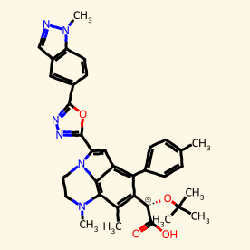 Cc1ccc(-c2c([C@H](OC(C)(C)C)C(=O)O)c(C)c3c4c2cc(-c2nnc(-c5ccc6c(cnn6C)c5)o2)n4CCN3C)cc1